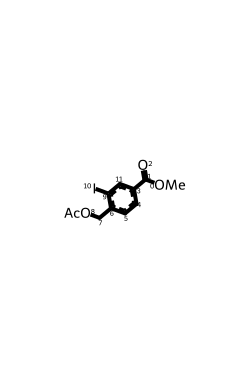 COC(=O)c1ccc(COC(C)=O)c(I)c1